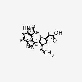 CC[C@@H]1CC(=CC(=O)O)C[C@@H]1c1nnc2cnc3[nH]ccc3n12